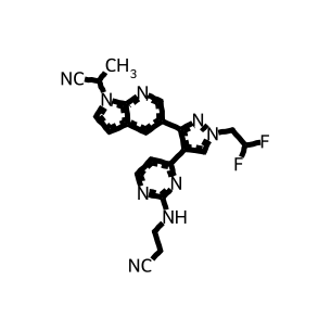 CC(C#N)n1ccc2cc(-c3nn(CC(F)F)cc3-c3ccnc(NCCC#N)n3)cnc21